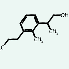 CCCc1cccc([C](C)CO)c1C